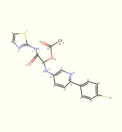 O=C(Nc1nccs1)C(Nc1ccc(-c2ccc(F)cc2)nc1)OC(=O)C(F)(F)F